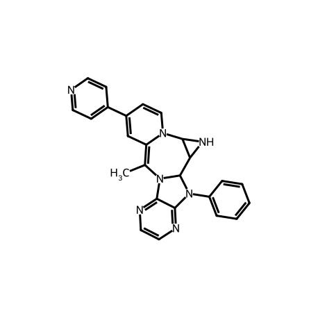 CC1=C2C=C(c3ccncc3)C=CN2C2NC2C2N1c1nccnc1N2c1ccccc1